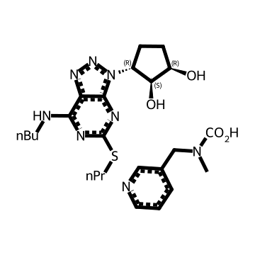 CCCCNc1nc(SCCC)nc2c1nnn2[C@@H]1CC[C@@H](O)[C@H]1O.CN(Cc1cccnc1)C(=O)O